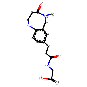 C=C(O)CNC(=O)CCc1ccc2c(c1)CN(CC)C(=O)CCN2